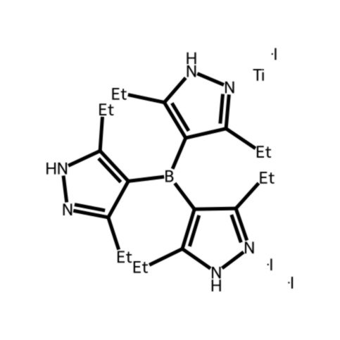 CCc1n[nH]c(CC)c1B(c1c(CC)n[nH]c1CC)c1c(CC)n[nH]c1CC.[I].[I].[I].[Ti]